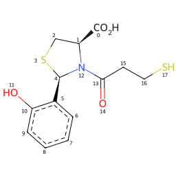 O=C(O)[C@@H]1CS[C@H](c2ccccc2O)N1C(=O)CCS